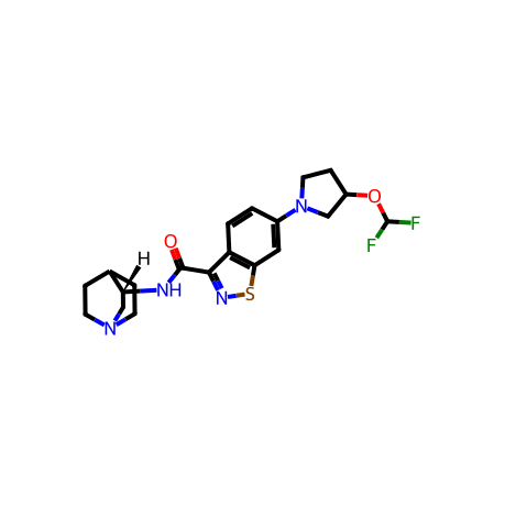 O=C(N[C@@H]1CN2CCC1CC2)c1nsc2cc(N3CCC(OC(F)F)C3)ccc12